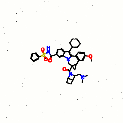 COc1ccc2c(c1)C1CC1(C(=O)N1C3CCC3C1CN(C)C)Cn1c-2c(C2CCCCC2)c2ccc(C(=O)NS(=O)(=O)c3ccccc3)cc21